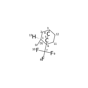 C[C@H]1CC2CCC1(C(F)(F)F)CC2